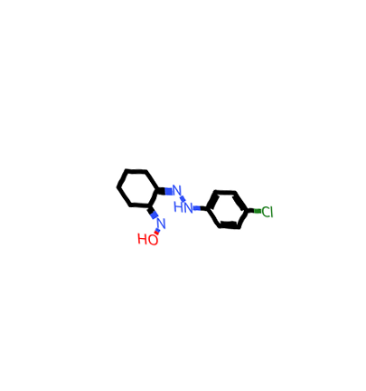 ON=C1CCCCC1=NNc1ccc(Cl)cc1